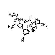 CC[C@H]1CN(c2cc(C#N)cc(Nc3nc(NC4CC4)c4ncc(C)n4n3)c2Cl)C[C@H]1NC(=O)OC